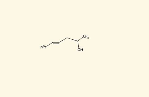 CCCC=CCC(O)C(F)(F)F